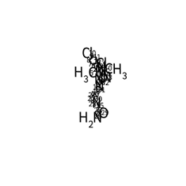 Cc1nn(C(C)c2ccc(Cl)cc2Cl)c2nc(N3CC([C@@H]4CCCN(CCC(N)=O)C4)C3)cnc12